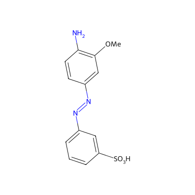 COc1cc(N=Nc2cccc(S(=O)(=O)O)c2)ccc1N